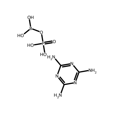 Nc1nc(N)nc(N)n1.O=P(O)(O)OB(O)O